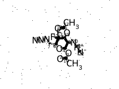 CC(=O)OC1O[C@H](CN=[N+]=[N-])C(F)(F)[C@H](OC(C)=O)C1N=[N+]=[N-]